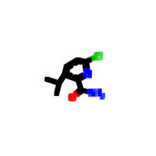 CC(C)c1ccc(Cl)nc1C(N)=O